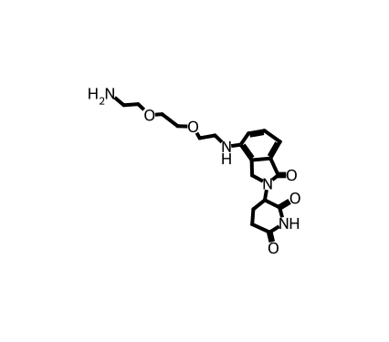 NCCOCCOCCNc1cccc2c1CN(C1CCC(=O)NC1=O)C2=O